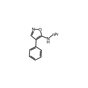 CCCNc1oncc1-c1ccccc1